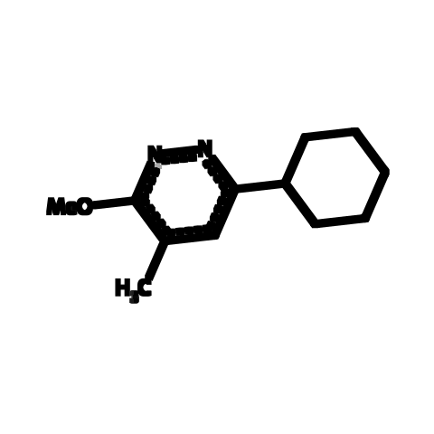 COc1nnc(C2CCCCC2)cc1C